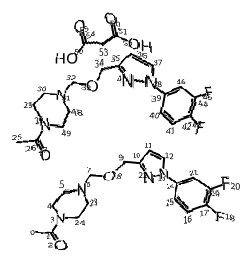 CC(=O)N1CCN(COCc2ccn(-c3ccc(F)c(F)c3)n2)CC1.CC(=O)N1CCN(COCc2ccn(-c3ccc(F)c(F)c3)n2)CC1.O=C(O)CC(=O)O